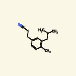 Cc1ccc(CCC#N)cc1CC(C)C